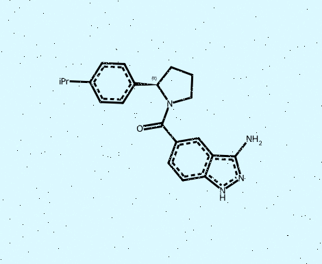 CC(C)c1ccc([C@H]2CCCN2C(=O)c2ccc3[nH]nc(N)c3c2)cc1